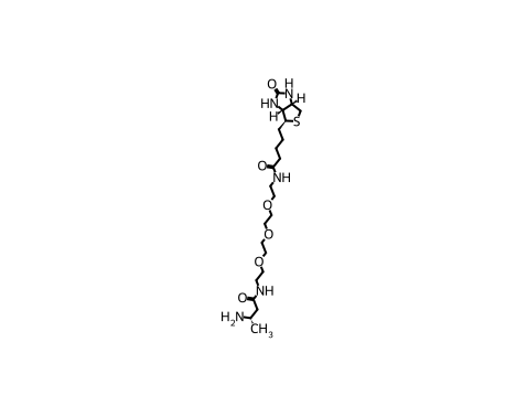 C[C@H](N)CC(=O)NCCOCCOCCOCCNC(=O)CCCC[C@@H]1SC[C@H]2NC(=O)N[C@@H]12